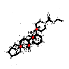 CCOC(=O)N1CCC(NC(=O)c2ccc(N3C4CCC3CC(NC(=O)c3cccc(OC)c3C)C4)nc2)CC1